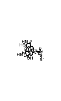 CCC1O[C@@H](O[C@@H]2C(CO)O[C@@H](O)C(OC(=O)NCC3(CN=[N+]=[N-])N=N3)C2O)C(O)C(O)[C@H]1C